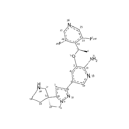 C[C@@H](Oc1cc(-c2cc3n(n2)CC[C@@]32CCNC2)cnc1N)c1c(F)cncc1F